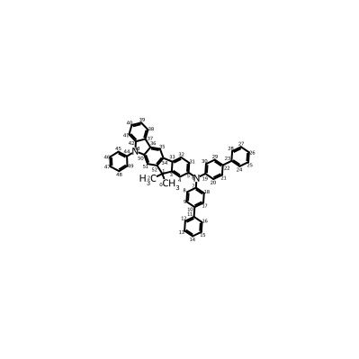 CC1(C)c2cc(N(c3ccc(-c4ccccc4)cc3)c3ccc(-c4ccccc4)cc3)ccc2-c2cc3c4ccccc4n(-c4ccccc4)c3cc21